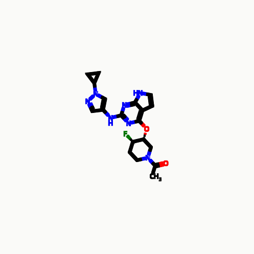 CC(=O)N1CC[C@@H](F)[C@H](Oc2nc(Nc3cnn(C4CC4)c3)nc3[nH]ccc23)C1